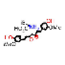 CCC(C)C(N)C(=O)O.COc1cc(/C=C/C(=O)CC(=O)/C=C/c2ccc(O)c(OC)c2)ccc1O